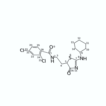 O=C(NCCC1SC(NC2CCCCC2)=NC1=O)c1ccc(Cl)cc1Cl